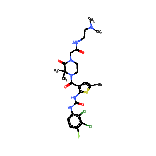 CN(C)CCNC(=O)CN1CCN(C(=O)c2cc(C(C)(C)C)sc2NC(=O)Nc2ccc(F)c(Cl)c2Cl)C(C)(C)C1=O